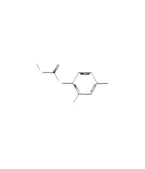 CC(C)(C)NC(=O)Oc1ccc(C(F)(F)F)cc1N